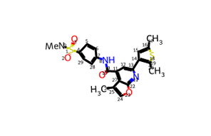 CNS(=O)(=O)c1ccc(NC(=O)c2cc(-c3cc(C)sc3C)nc3occ(C)c23)cc1